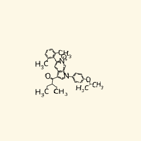 CCC(CC)C(=O)c1cn(-c2ccc(OC(C)C)cc2)c2c[n+]([O-])c(-c3c(C)cccc3C)cc12